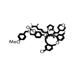 COc1ccc(CN(Cc2ccc(OC)cc2)S(=O)(=O)[C@H](C)[C@@H](C)C/C=C/C(C(=O)N(C)CCC2CCOCC2)N2CCC[C@H]2CN2CCCCc3cc(Cl)ccc3COc3ccc(I)cc32)cc1